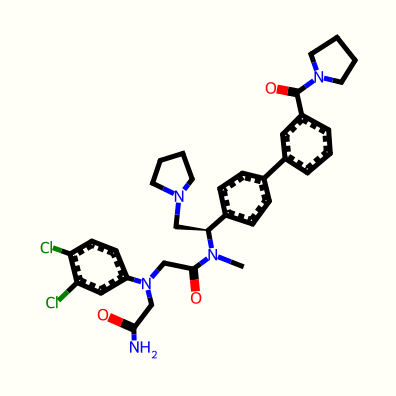 CN(C(=O)CN(CC(N)=O)c1ccc(Cl)c(Cl)c1)[C@@H](CN1CCCC1)c1ccc(-c2cccc(C(=O)N3CCCC3)c2)cc1